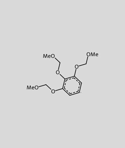 COCOc1c[c]cc(OCOC)c1OCOC